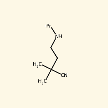 CC(C)NCCC(C)(C)C#N